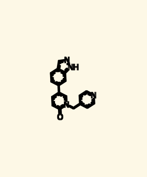 O=c1ccc(-c2ccc3cn[nH]c3c2)cn1Cc1ccncc1